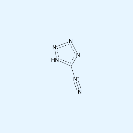 N#[N+]c1nnn[nH]1